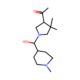 CC(=O)C1CN(C(O)C2CCN(C)CC2)CC1(C)C